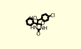 O=C1NC(=O)C(c2ccccc2)(C(O)c2ccc(Cl)cc2)N1